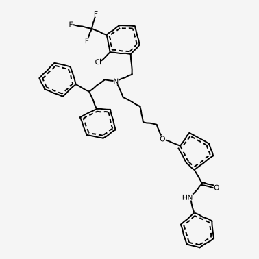 O=C(Nc1ccccc1)c1cccc(OCCCCN(Cc2cccc(C(F)(F)F)c2Cl)CC(c2ccccc2)c2ccccc2)c1